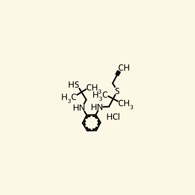 C#CCSC(C)(C)CNc1ccccc1NCC(C)(C)S.Cl